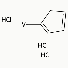 Cl.Cl.Cl.[V][C]1=CC=CC1